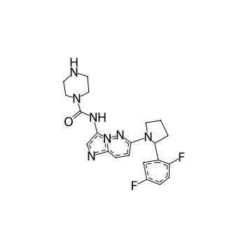 O=C(Nc1cnc2ccc(N3CCCC3c3cc(F)ccc3F)nn12)N1CCNCC1